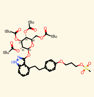 CC(C)(C)C(=O)OC[C@H]1O[C@@H](Oc2n[nH]c3cccc(CCc4ccc(OCCCOS(C)(=O)=O)cc4)c23)[C@H](OC(=O)C(C)(C)C)[C@@H](OC(=O)C(C)(C)C)[C@@H]1OC(=O)C(C)(C)C